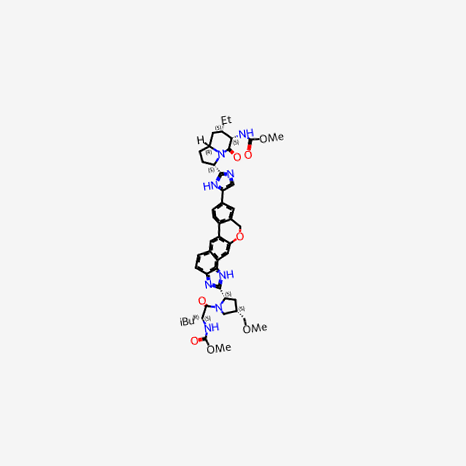 CC[C@H]1C[C@H]2CC[C@@H](c3ncc(-c4ccc5c(c4)COc4cc6c(ccc7nc([C@@H]8C[C@H](COC)CN8C(=O)[C@@H](NC(=O)OC)[C@H](C)CC)[nH]c76)cc4-5)[nH]3)N2C(=O)[C@H]1NC(=O)OC